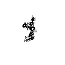 Cn1cc(-c2ccc(N(C3CCCC(Nc4ncc(C#N)c(N5CCCC5CO)n4)CC3)C(O)NCc3ccccc3)nc2)cn1